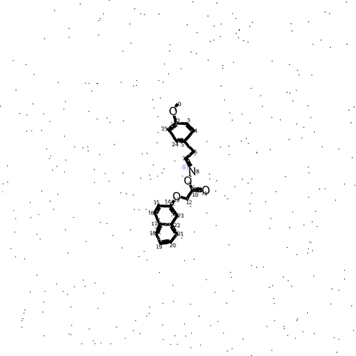 COc1ccc(C/C=N/OC(=O)COc2ccc3ccccc3c2)cc1